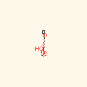 C=C(C)C(=O)OCC(O)COCCCCCCOc1ccccc1